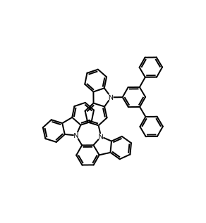 c1ccc(-c2cc(-c3ccccc3)cc(-n3c4ccccc4c4ccc(-n5c6ccccc6c6cccc(-n7c8ccccc8c8ccccc87)c65)cc43)c2)cc1